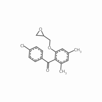 Cc1cc(C)c(C(=O)c2ccc(Cl)cc2)c(OCC2CO2)c1